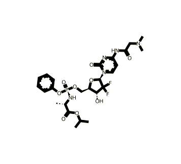 CC(C)OC(=O)[C@H](C)N[P@@](=O)(OC[C@H]1O[C@@H](n2ccc(NC(=O)CN(C)C)nc2=O)C(F)(F)[C@@H]1O)Oc1ccccc1